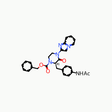 CC(=O)Nc1ccc(C[C@@H]2C(=O)N(c3cn4ccccc4n3)CCN2C(=O)OCc2ccccc2)cc1